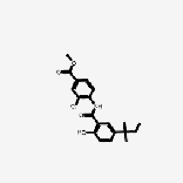 CCC(C)(C)c1ccc(O)c(C(=O)Nc2ccc(C(=O)OC)cc2Cl)c1